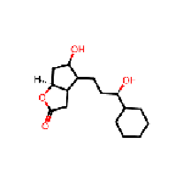 O=C1CC2C(CC[C@@H](O)C3CCCCC3)C(O)C[C@@H]2O1